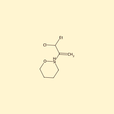 C=C(C(Cl)CC)[SiH]1CCCCO1